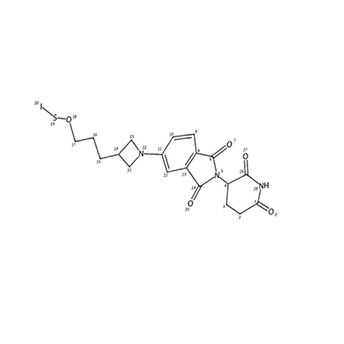 O=C1CCC(N2C(=O)c3ccc(N4CC(CCCOSI)C4)cc3C2=O)C(=O)N1